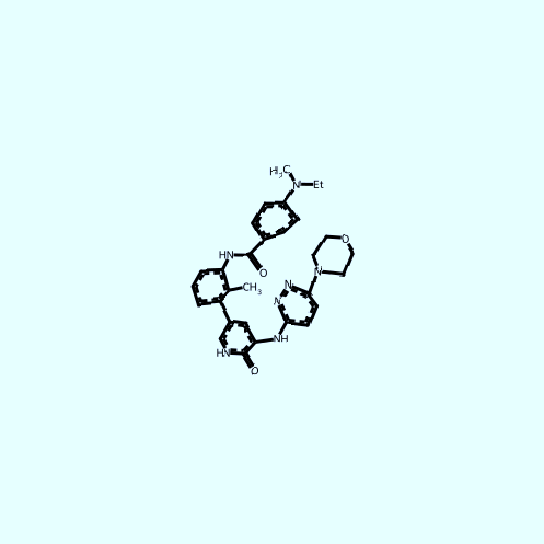 CCN(C)c1ccc(C(=O)Nc2cccc(-c3c[nH]c(=O)c(Nc4ccc(N5CCOCC5)nn4)c3)c2C)cc1